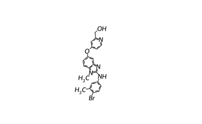 Cc1cc(Nc2nc3cc(Oc4ccnc(CO)c4)ccc3n2C)ccc1Br